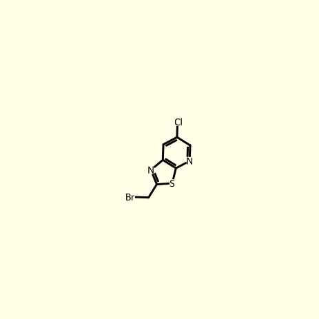 Clc1cnc2sc(CBr)nc2c1